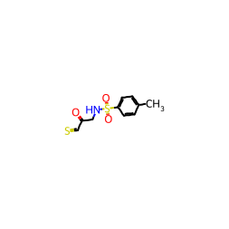 Cc1ccc(S(=O)(=O)NCC(=O)C=S)cc1